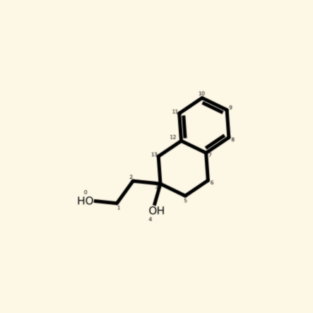 OCCC1(O)CCc2ccccc2C1